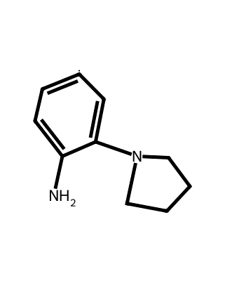 Nc1cc[c]cc1N1CCCC1